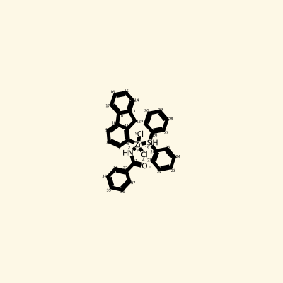 O=C([NH][Zr]([Cl])([Cl])([c]1cccc2c1Cc1ccccc1-2)[SiH](c1ccccc1)c1ccccc1)c1ccccc1